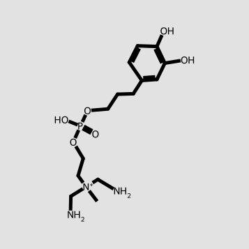 C[N+](CN)(CN)CCOP(=O)(O)OCCCc1ccc(O)c(O)c1